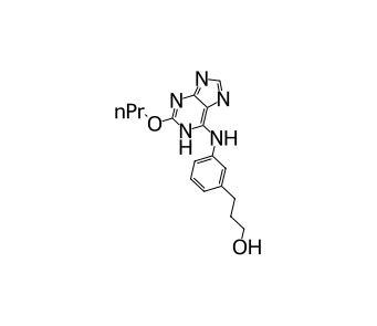 CCCOc1nc2ncnc-2c(Nc2cccc(CCCO)c2)[nH]1